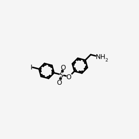 NCc1ccc(OS(=O)(=O)c2ccc(I)cc2)cc1